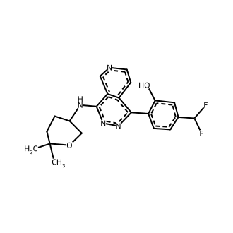 CC1(C)CCC(Nc2nnc(-c3ccc(C(F)F)cc3O)c3ccncc23)CO1